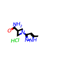 Cc1cc(N2CC(C(N)=O)C2)n[nH]1.Cl